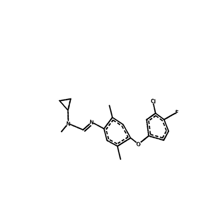 Cc1cc(Oc2ccc(F)c(Cl)c2)c(C)cc1N=CN(C)C1CC1